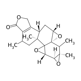 CC1C[C@@]2(C)[C@@H](C[C@@H]3O[C@@]34C(C)[C@@]3(C)O[C@H]3[C@@H]3OC324)C2=C1C(=O)OC2